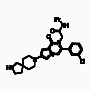 CC(C)NC(=O)Cn1c(-c2cccc(Cl)c2)cn2cc(N3CCC4(CCNC4)CC3)cc2c1=O